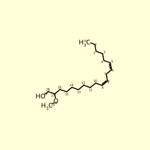 CCCCC/C=C\C/C=C\CCCCCCCC(CO)OC